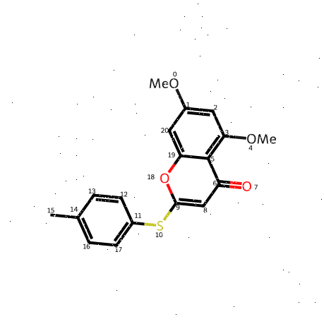 COc1cc(OC)c2c(=O)cc(Sc3ccc(C)cc3)oc2c1